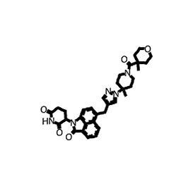 CC1(C(=O)N2CCC(C)(n3cc(Cc4ccc5c6c(cccc46)C(=O)N5C4CCC(=O)NC4=O)cn3)CC2)CCOCC1